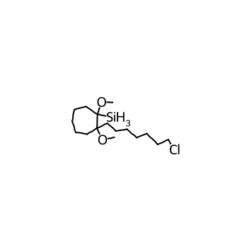 COC1([SiH3])CCCCCC1(CCCCCCCCl)OC